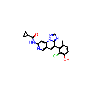 Cc1ccc(O)c(Cl)c1-c1cc2cnc(NC(=O)C3CC3)cc2n2ncnc12